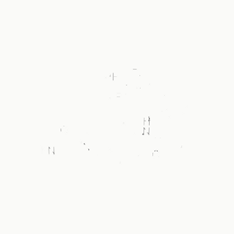 NC(=O)CN1CCc2cc(NC(=O)c3ccccc3-c3ccc(C(F)(F)F)cc3)ccc2C1